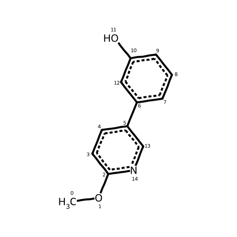 COc1ccc(-c2cccc(O)c2)cn1